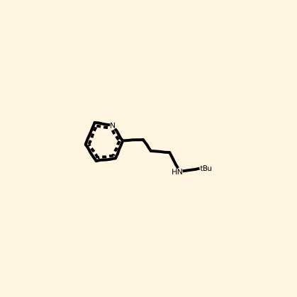 CC(C)(C)NCCCc1ccccn1